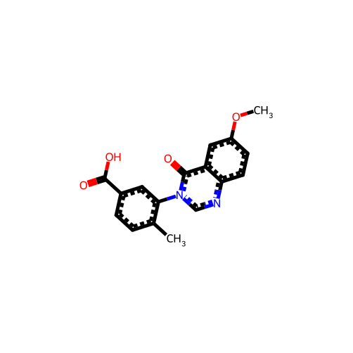 COc1ccc2ncn(-c3cc(C(=O)O)ccc3C)c(=O)c2c1